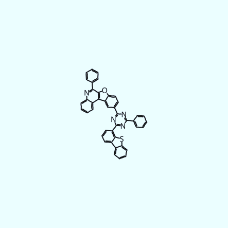 c1ccc(-c2nc(-c3ccc4oc5c(-c6ccccc6)nc6ccccc6c5c4c3)nc(-c3cccc4c3sc3ccccc34)n2)cc1